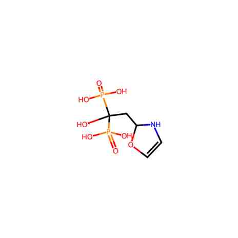 O=P(O)(O)C(O)(CC1NC=CO1)P(=O)(O)O